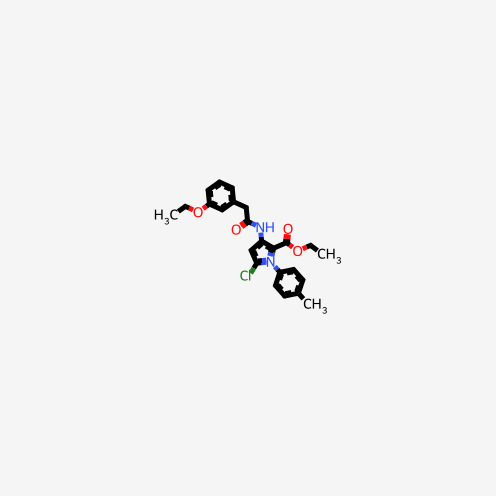 CCOC(=O)c1c(NC(=O)Cc2cccc(OCC)c2)cc(Cl)n1-c1ccc(C)cc1